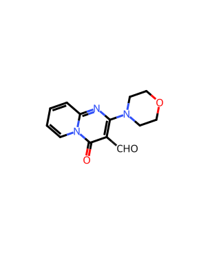 O=Cc1c(N2CCOCC2)nc2ccccn2c1=O